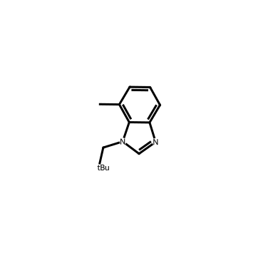 Cc1cccc2ncn(CC(C)(C)C)c12